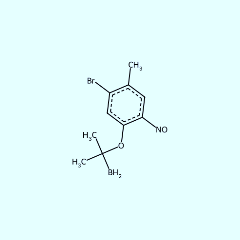 BC(C)(C)Oc1cc(Br)c(C)cc1N=O